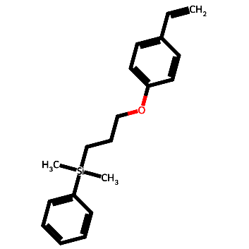 C=Cc1ccc(OCCC[Si](C)(C)c2ccccc2)cc1